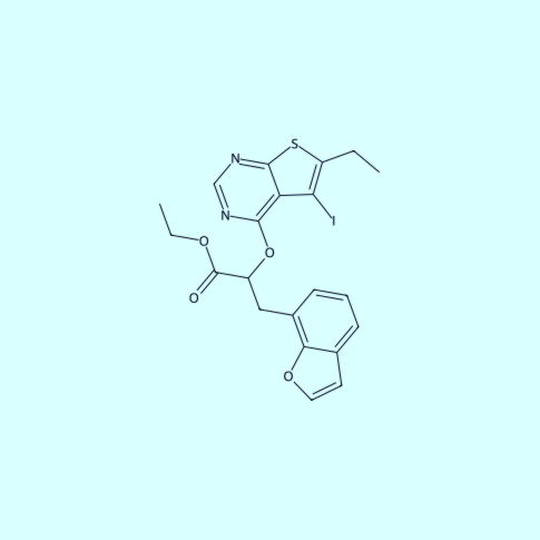 CCOC(=O)C(Cc1cccc2ccoc12)Oc1ncnc2sc(CC)c(I)c12